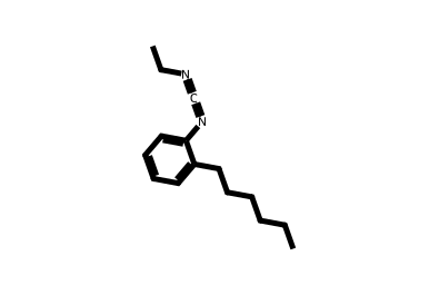 CCCCCCc1ccccc1N=C=NCC